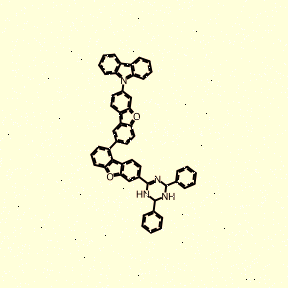 c1ccc(C2N=C(c3ccc4c(c3)oc3cccc(-c5ccc6oc7cc(-n8c9ccccc9c9ccccc98)ccc7c6c5)c34)NC(c3ccccc3)N2)cc1